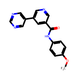 O=C(Nc1ccc(OC(F)(F)F)cc1)c1cncc(-c2cncnc2)c1